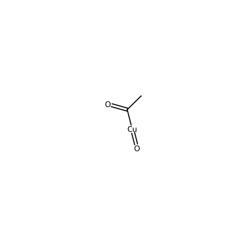 C[C](=O)[Cu]=[O]